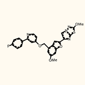 COc1cc(COc2ccnc(-c3ccc(F)cc3)c2)c2cc(-c3cn4nc(OC)sc4n3)oc2c1